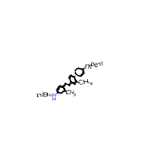 CCCCC[C@H]1CC[C@H](c2ccc(CCc3ccc(NCCCC)cc3C)cc2C)CC1